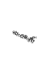 COc1ccc(COc2ccc(-c3noc(CCC(=O)n4nc(O)c5c4CCCC5)n3)nc2)cc1